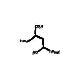 CCCCCC(O)CC(C(=O)O)C(=O)O